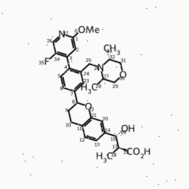 COc1cc(-c2ccc(C3CCc4ccc([C@H](O)[C@H](C)C(=O)O)cc4O3)cc2CN2C(C)COC[C@H]2C)c(F)cn1